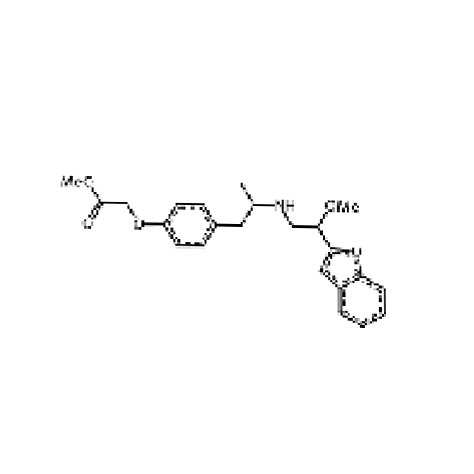 COC(=O)COc1ccc(CC(C)NCC(OC)c2cc3ccccc3o2)cc1